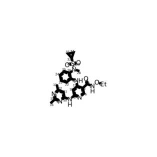 CCONC(=O)c1cnc(Nc2cc(C)nc(C)n2)cc1Nc1ccccc1N(C)S(=O)(=O)C1CC1